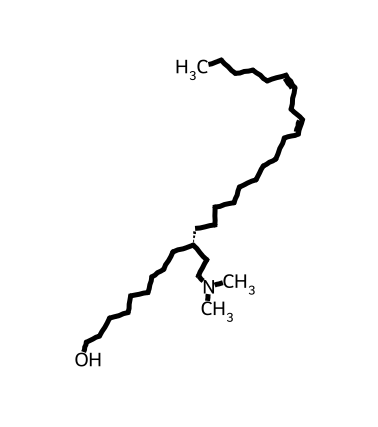 CCCCC/C=C\C/C=C\CCCCCCCCC[C@@H](CCCCCCCCCO)CCN(C)C